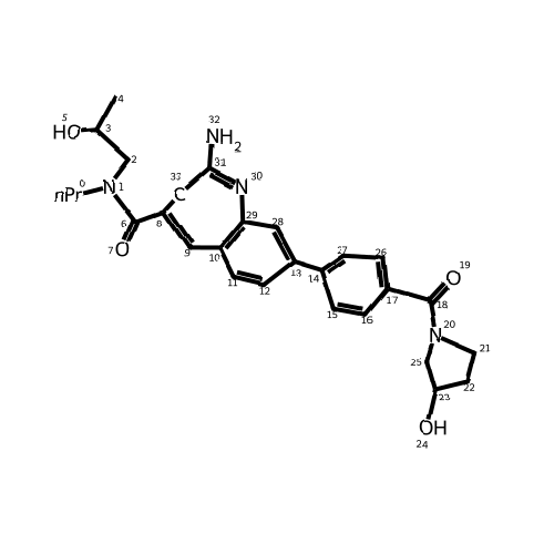 CCCN(CC(C)O)C(=O)C1=Cc2ccc(-c3ccc(C(=O)N4CCC(O)C4)cc3)cc2N=C(N)C1